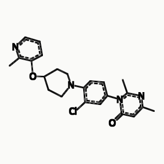 Cc1cc(=O)n(-c2ccc(N3CCC(Oc4cccnc4C)CC3)c(Cl)c2)c(C)n1